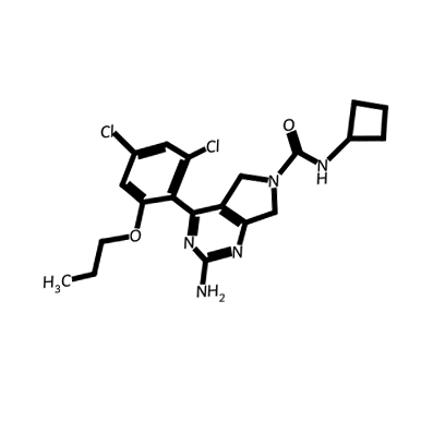 CCCOc1cc(Cl)cc(Cl)c1-c1nc(N)nc2c1CN(C(=O)NC1CCC1)C2